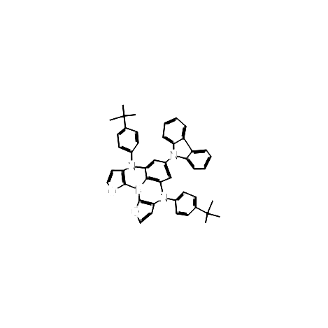 CC(C)(C)c1ccc(N2c3ccoc3B3c4occc4N(c4ccc(C(C)(C)C)cc4)c4cc(-n5c6ccccc6c6ccccc65)cc2c43)cc1